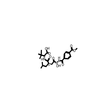 COC(=O)c1ccc(C(=O)NN(O)C(=O)C[C@@H](CC(C)C)C(=O)N[C@H](C(=O)O)C(C)(C)C)cc1